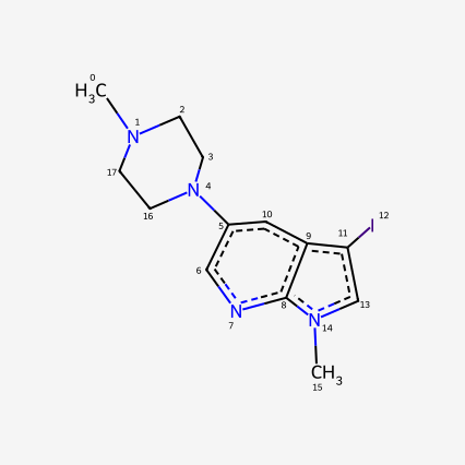 CN1CCN(c2cnc3c(c2)c(I)cn3C)CC1